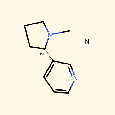 CN1CCC[C@H]1c1cccnc1.[Ni]